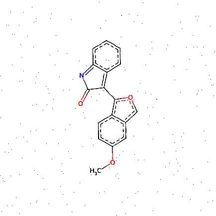 COc1ccc2c(C3=c4ccccc4=NC3=O)occ2c1